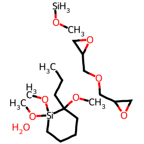 C(OCC1CO1)C1CO1.CCCC1(OC)CCCC[Si]1(OC)OC.CO[SiH3].O